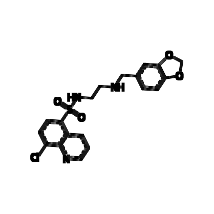 O=S(=O)(NCCNCc1ccc2c(c1)OCO2)c1ccc(Cl)c2ncccc12